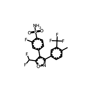 Cc1ccc(-c2noc(C(F)F)c2-c2ccc(S(N)(=O)=O)c(F)c2)cc1C(F)(F)F